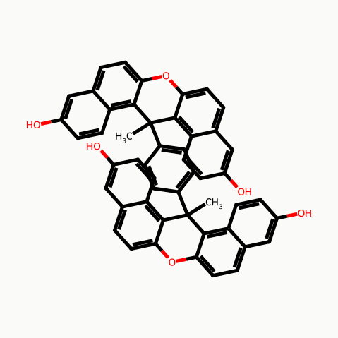 CC1(c2ccc(C3(C)c4c(ccc5cc(O)ccc45)Oc4ccc5cc(O)ccc5c43)cc2)c2c(ccc3cc(O)ccc23)Oc2ccc3cc(O)ccc3c21